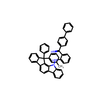 CC1C=C(C2(c3ccccc3)c3ccccc3-c3ccc4c5ccccc5n(Nc5ccccc5C(=N)c5ccc(-c6ccccc6)cc5)c4c32)C=CC1